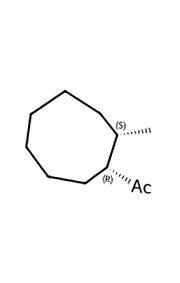 CC(=O)[C@@H]1CCCCCC[C@@H]1C